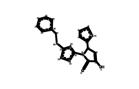 O=C1C(O)=CC(c2cccs2)N1c1nnc(SCc2ccccc2)s1